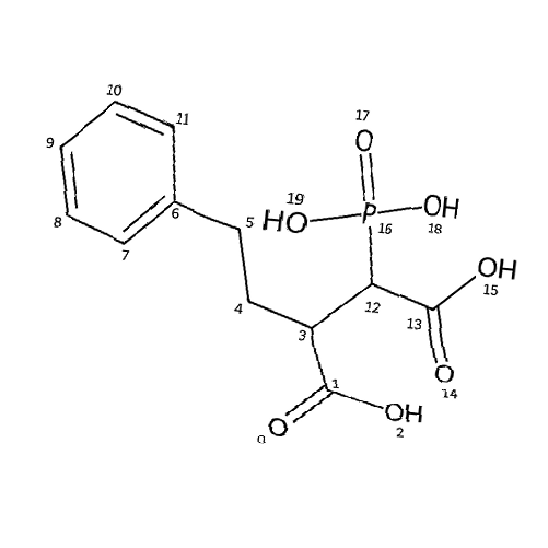 O=C(O)C(CCc1ccccc1)C(C(=O)O)P(=O)(O)O